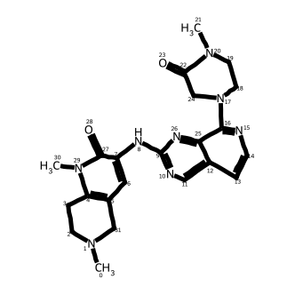 CN1CCc2c(cc(Nc3ncc4ccnc(N5CCN(C)C(=O)C5)c4n3)c(=O)n2C)C1